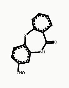 O=Cc1ccc2c(c1)NC(=O)c1ccccc1S2